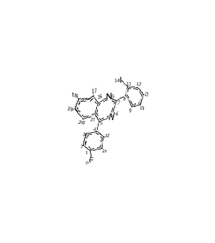 Fc1ccc(-c2nc(-c3ccccc3I)nc3ccccc23)cc1